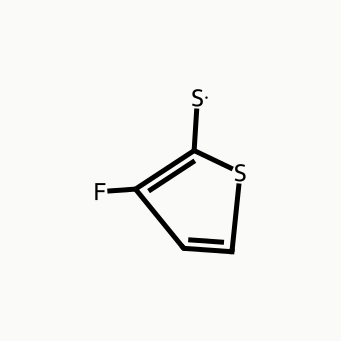 Fc1ccsc1[S]